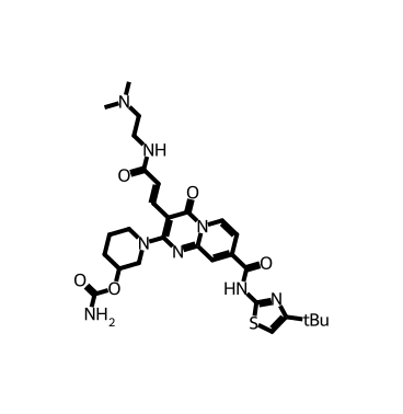 CN(C)CCNC(=O)C=Cc1c(N2CCCC(OC(N)=O)C2)nc2cc(C(=O)Nc3nc(C(C)(C)C)cs3)ccn2c1=O